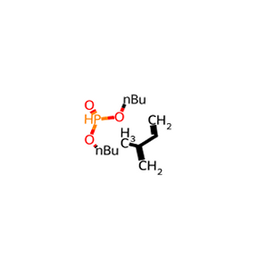 C=CC(=C)C.CCCCO[PH](=O)OCCCC